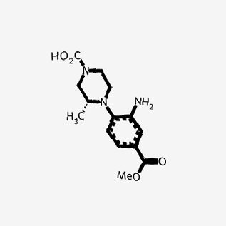 COC(=O)c1ccc(N2CCN(C(=O)O)C[C@H]2C)c(N)c1